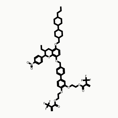 C=C(C(=O)OCCOc1ccc(-c2ccc(COc3ccc(OCC4CCC(C5CCC(CCC)CC5)CC4)c4c3SC(c3ccc([N+](=O)[O-])cc3)C(CC)C4)cc2)cc1OCCOC(=O)C(=C)C(F)(F)F)C(F)(F)F